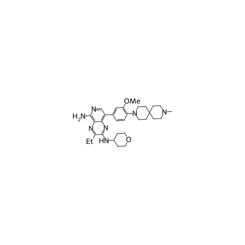 CCc1nc2c(N)ncc(-c3ccc(N4CCC5(CCN(C)CC5)CC4)c(OC)c3)c2nc1NC1CCOCC1